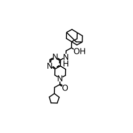 O=C(CC1CCCC1)N1CCc2c(ncnc2NCC(O)C23CC4CC(CC(C4)C2)C3)C1